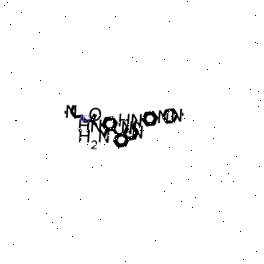 CN(C)C/C=C/C(=O)Nc1cccc(-c2cccc3cnc(Nc4ccc(N5CCN(C)CC5)cc4)nc23)c1N